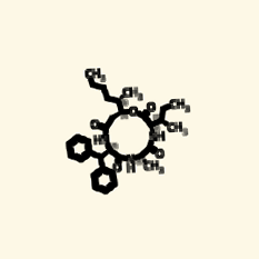 CCCC[C@H](C)[C@@H]1CC(=O)N[C@H](C(c2ccccc2)c2ccccc2)C(=O)N[C@@H](C)C(=O)N[C@H]([C@H](C)CC)C(=O)O1